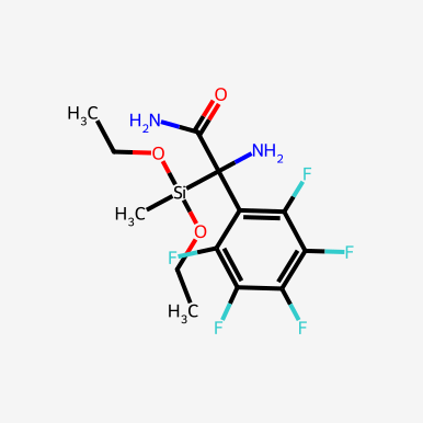 CCO[Si](C)(OCC)C(N)(C(N)=O)c1c(F)c(F)c(F)c(F)c1F